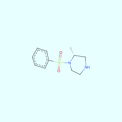 C[C@@H]1CNCCN1S(=O)(=O)c1ccccc1